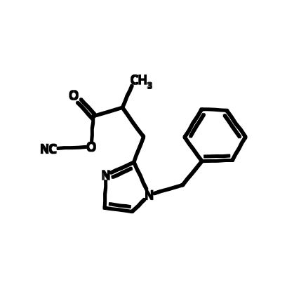 CC(Cc1nccn1Cc1ccccc1)C(=O)OC#N